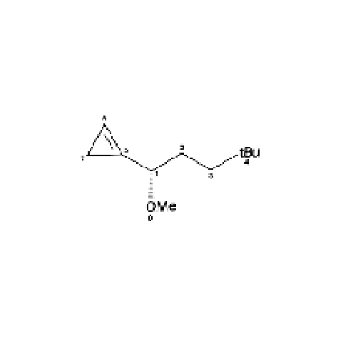 CO[C@@H](CCC(C)(C)C)C1=CC1